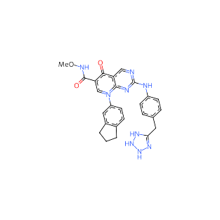 CONC(=O)c1cn(-c2ccc3c(c2)CCC3)c2nc(Nc3ccc(CC4=NNNN4)cc3)ncc2c1=O